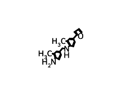 Cc1cc(CNc2ccc(-c3ccco3)cc2C)ccc1N